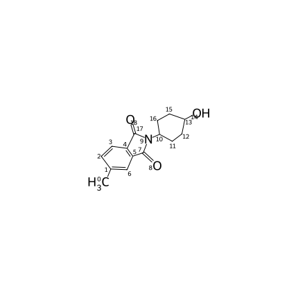 Cc1ccc2c(c1)C(=O)N(C1CCC(O)CC1)C2=O